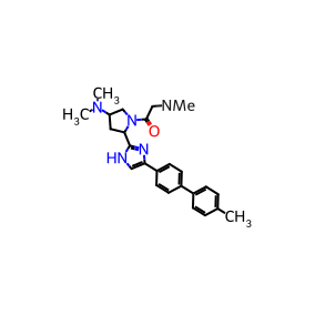 CNCC(=O)N1CC(N(C)C)CC1c1nc(-c2ccc(-c3ccc(C)cc3)cc2)c[nH]1